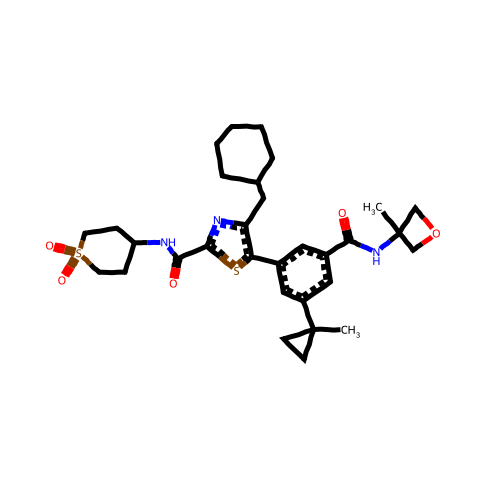 CC1(NC(=O)c2cc(-c3sc(C(=O)NC4CCS(=O)(=O)CC4)nc3CC3CCCCC3)cc(C3(C)CC3)c2)COC1